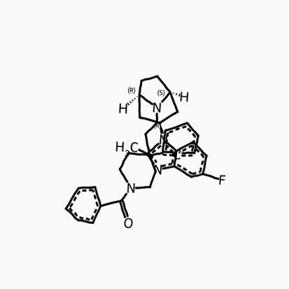 Cc1nc2cc(F)ccc2n1[C@H]1C[C@H]2CC[C@@H](C1)N2CCC1(c2ccccc2)CCN(C(=O)c2ccccc2)CC1